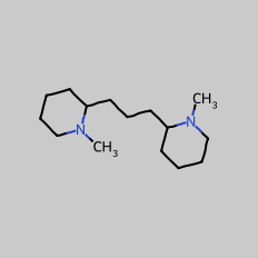 CN1CCCCC1CCCC1CCCCN1C